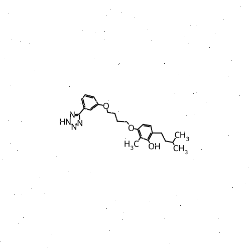 Cc1c(OCCCCOc2cccc(-c3nn[nH]n3)c2)ccc(CCC(C)C)c1O